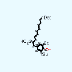 CCCCCCCCCCCCCCCCCCC(Cc1cc(CC)c(O)c(C(C)(C)C)c1)C(=O)O